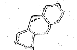 [c]1ccc2cc3ncncc3cc2c1